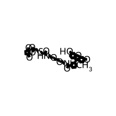 Cc1ccc(C(=O)NCCOCCOCCNC(=O)CSCCC(=O)ON2C(=O)CCC2=O)cc1-c1c2ccc(=O)cc-2oc2cc(O)ccc12